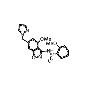 COc1ccccc1[S+]([O-])Nc1noc2cc(Cn3cccn3)cc(OC)c12